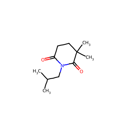 CC(C)CN1C(=O)CCC(C)(C)C1=O